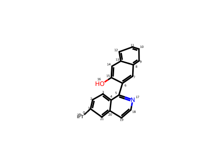 CC(C)c1ccc2c(-c3cc4ccccc4cc3O)nccc2c1